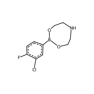 Fc1ccc(B2OCCNCCO2)cc1Cl